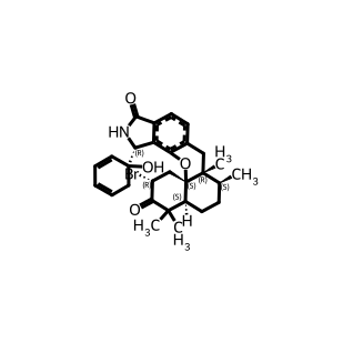 C[C@H]1CC[C@H]2C(C)(C)C(=O)[C@H](Br)C[C@]23Oc2c(ccc4c2[C@H](C2(O)C=CC=CC2)NC4=O)C[C@]13C